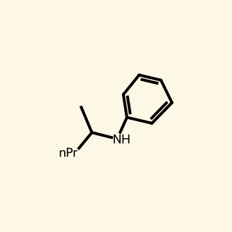 CCC[C](C)Nc1ccccc1